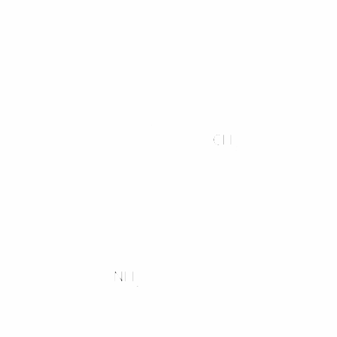 Cc1cccc2c(N)ccc(-c3ccccc3)c12